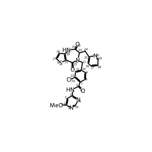 COc1cc(NC(=O)c2ccc(CN3C(=O)c4sccc4NC(=O)C3Cc3ccccn3)cc2Cl)ncn1